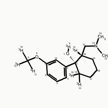 [2H]O[C@@]1(c2cccc(OC([2H])([2H])[2H])c2)C([2H])([2H])CCC[C@@]1([2H])CN(C)C